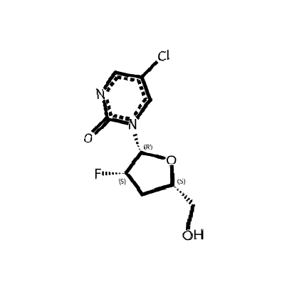 O=c1ncc(Cl)cn1[C@@H]1O[C@H](CO)C[C@@H]1F